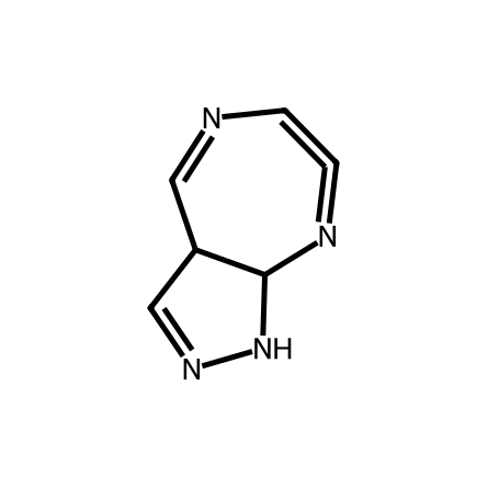 C1=CN=CC2C=NNC2N=1